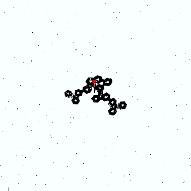 c1ccc(-c2ccccc2-c2cc(-n3c4ccccc4c4cc(-c5ccc6c(c5)c5ccccc5n6-c5ccccc5)ccc43)nc(-n3c4ccccc4c4cc(-c5ccc6c(c5)c5ccccc5n6-c5ccccc5)ccc43)c2)cc1